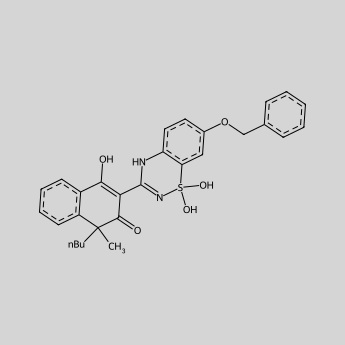 CCCCC1(C)C(=O)C(C2=NS(O)(O)c3cc(OCc4ccccc4)ccc3N2)=C(O)c2ccccc21